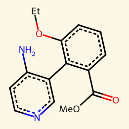 CCOc1cccc(C(=O)OC)c1-c1cnccc1N